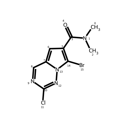 CN(C)C(=O)c1cc2cnc(Cl)nn2c1Br